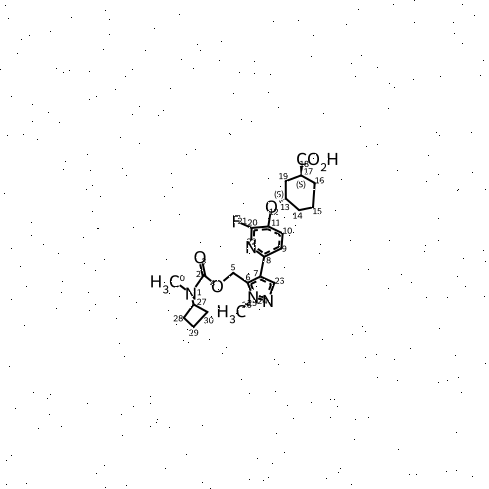 CN(C(=O)OCc1c(-c2ccc(O[C@H]3CCC[C@H](C(=O)O)C3)c(F)n2)cnn1C)C1CCC1